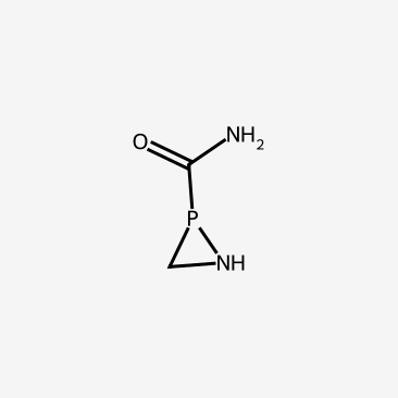 NC(=O)P1CN1